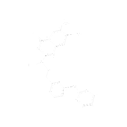 COc1cc2[nH]c(N(C)CCc3cccc(Nc4ncccn4)c3)nc(=O)c2cc1OC